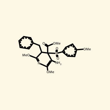 COC(=O)C1(S(=O)(=O)c2ccc(OC)cc2)C(N)=C(OC)N=C(OC)C1Cc1ccccc1